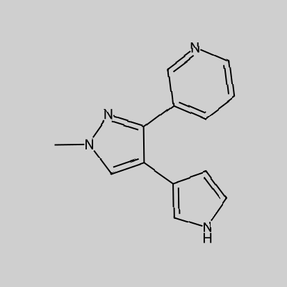 Cn1cc(-c2cc[nH]c2)c(-c2cccnc2)n1